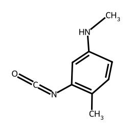 CNc1ccc(C)c(N=C=O)c1